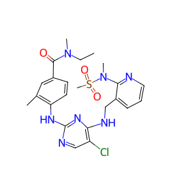 CCN(C)C(=O)c1ccc(Nc2ncc(Cl)c(NCc3cccnc3N(C)S(C)(=O)=O)n2)c(C)c1